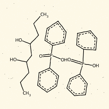 CCCC(O)CC(O)CCC.O=P(O)(c1ccccc1)c1ccccc1.O=P(O)(c1ccccc1)c1ccccc1